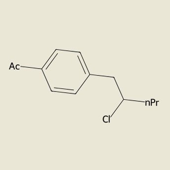 CCCC(Cl)Cc1ccc(C(C)=O)cc1